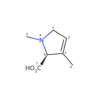 CC1=CCN(C)[C@@H]1C(=O)O